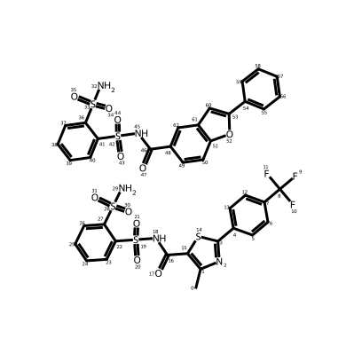 Cc1nc(-c2ccc(C(F)(F)F)cc2)sc1C(=O)NS(=O)(=O)c1ccccc1S(N)(=O)=O.NS(=O)(=O)c1ccccc1S(=O)(=O)NC(=O)c1ccc2oc(-c3ccccc3)cc2c1